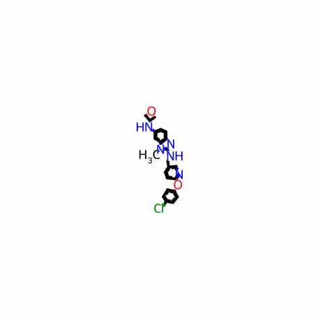 Cn1c(NCc2ccc(Oc3ccc(Cl)cc3)nc2)nc2ccc(NC3COC3)cc21